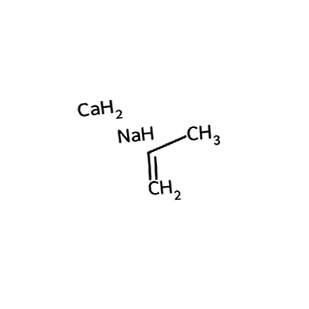 C=CC.[CaH2].[NaH]